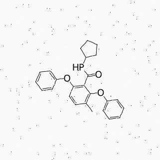 Cc1ccc(Oc2ccccc2)c(C(=O)PC2CCCC2)c1Oc1ccccc1